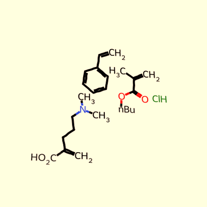 C=C(C)C(=O)OCCCC.C=C(CCCN(C)C)C(=O)O.C=Cc1ccccc1.Cl